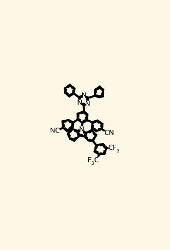 N#Cc1ccc(-c2cc(-c3nc(-c4ccccc4)nc(-c4ccccc4)n3)cc(-c3ccc(C#N)cc3)c2-n2c3ccccc3c3cc(-c4cc(C(F)(F)F)cc(C(F)(F)F)c4)ccc32)cc1